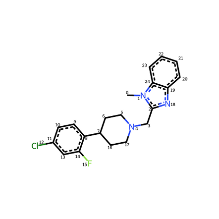 Cn1c(CN2CCC(c3ccc(Cl)cc3F)CC2)nc2ccccc21